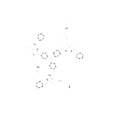 CC(C)(C)OC(=O)NCCCC[C@@](N)(C(=O)Cc1ccc(O)cc1)C(=O)Nc1ccc(C(c2ccc(NC(=O)[C@@](N)(CCCCNC(=O)OC(C)(C)C)C(=O)Cc3ccc(O)cc3)cc2)c2ccc(NC(=O)[C@@](N)(CCCCNC(=O)OC(C)(C)C)C(=O)Cc3ccc(O)cc3)cc2)cc1